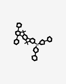 CC1(C)c2cc(N(c3ccc(-c4ccccc4)cc3)c3ccc(-c4ccccc4)cc3)ccc2-c2cc3c(cc21)-c1c(-c2ccccc2)ccc(-c2ccccc2)c1C3(C)C